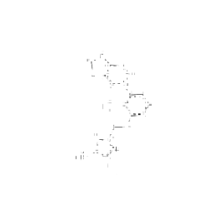 Cc1nc(COc2cccc(-c3ccc4c(c3)OCO4)c2C)oc1C=O